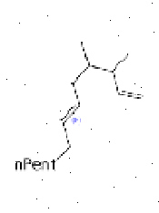 C=CC(C)C(C)C/C=C/CCCCCC